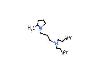 CC(C)CCN(CCCN1CCCC1C)CCC(C)C